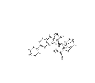 CC(C)(Oc1ccc(N2CCOCC2)cn1)C(=O)NC1C2CC3CC(C2)CC1(C(N)=O)C3